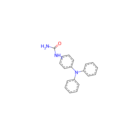 NC(N)=O.c1ccc(N(c2ccccc2)c2ccccc2)cc1